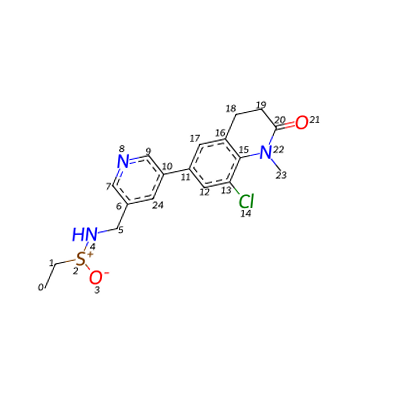 CC[S+]([O-])NCc1cncc(-c2cc(Cl)c3c(c2)CCC(=O)N3C)c1